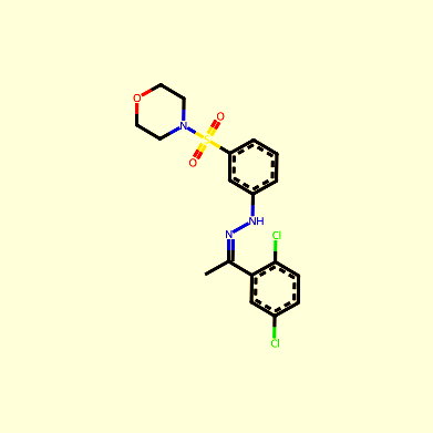 CC(=NNc1cccc(S(=O)(=O)N2CCOCC2)c1)c1cc(Cl)ccc1Cl